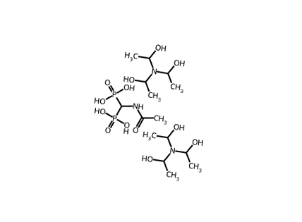 CC(=O)NC(P(=O)(O)O)P(=O)(O)O.CC(O)N(C(C)O)C(C)O.CC(O)N(C(C)O)C(C)O